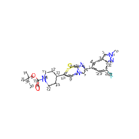 Cn1cc2cc(-c3cn4cc(C5CCN(C(=O)OC(C)(C)C)CC5)sc4n3)cc(F)c2n1